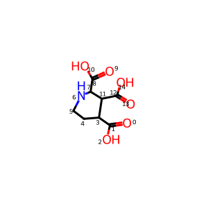 O=C(O)C1CCNC(C(=O)O)C1C(=O)O